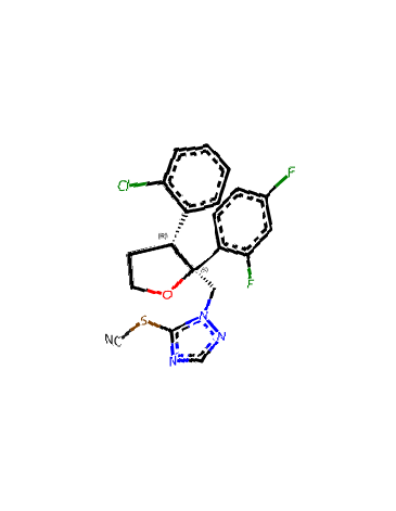 N#CSc1ncnn1C[C@]1(c2ccc(F)cc2F)OCC[C@@H]1c1ccccc1Cl